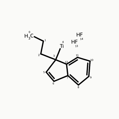 CCC[C]1([Ti])C=Cc2ccccc21.F.F